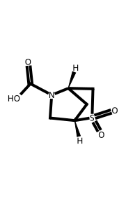 O=C(O)N1C[C@@H]2C[C@H]1CS2(=O)=O